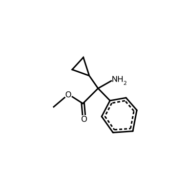 COC(=O)C(N)(c1ccccc1)C1CC1